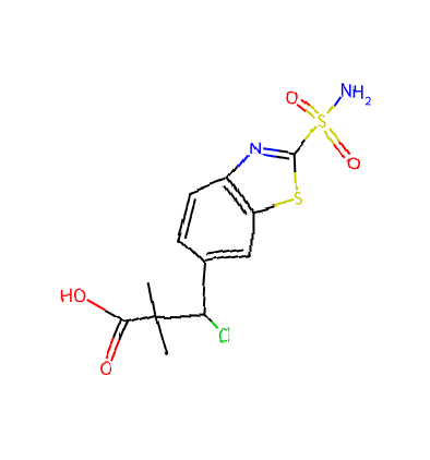 CC(C)(C(=O)O)C(Cl)c1ccc2nc(S(N)(=O)=O)sc2c1